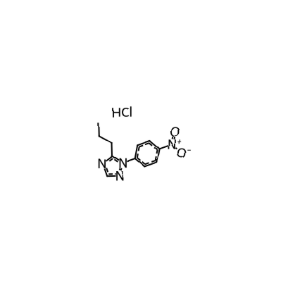 CCCc1ncnn1-c1ccc([N+](=O)[O-])cc1.Cl